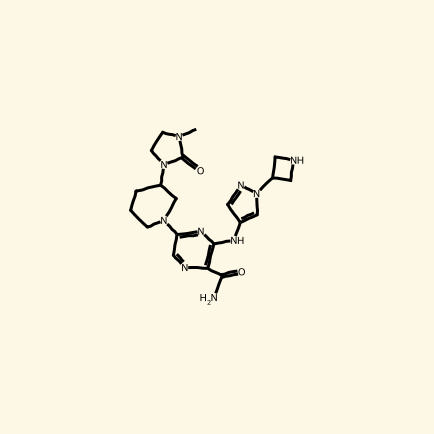 CN1CCN(C2CCCN(c3cnc(C(N)=O)c(Nc4cnn(C5CNC5)c4)n3)C2)C1=O